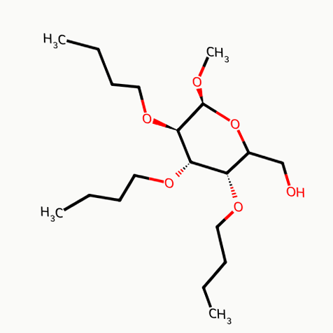 CCCCO[C@@H]1[C@@H](OCCCC)[C@@H](OC)OC(CO)[C@@H]1OCCCC